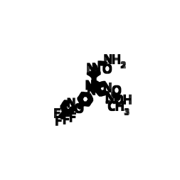 CCN(C(=O)O)c1cc2c(cn1)c(-c1cnn(CC(N)=O)c1)nn2C1CCC(Oc2nccc(C(F)(F)F)c2F)CC1